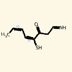 C/C=C\C=C(\S)C(=O)CC=N